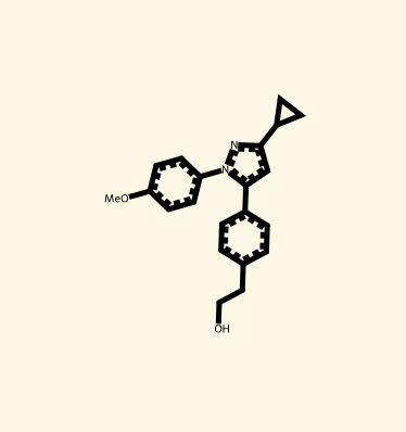 COc1ccc(-n2nc(C3CC3)cc2-c2ccc(CCO)cc2)cc1